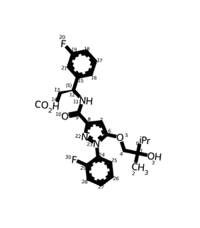 CC(C)C(C)(O)COc1cc(C(=O)N[C@@H](CC(=O)O)c2cccc(F)c2)nn1-c1ccccc1F